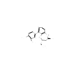 C=C[C@@H]1CC(=O)Nc2cccc(-c3ccc(C)c(C)c3)c2N1